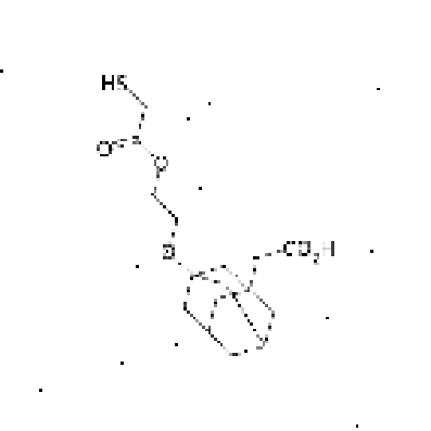 O=C(O)CC12CC3CC(C1)CC(OCCOC(=O)CS)(C3)C2